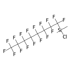 C[Si](C)(Cl)C(F)(F)C(F)(F)C(F)(F)C(F)(F)C(F)(F)C(F)(F)C(F)(F)C(F)(F)F